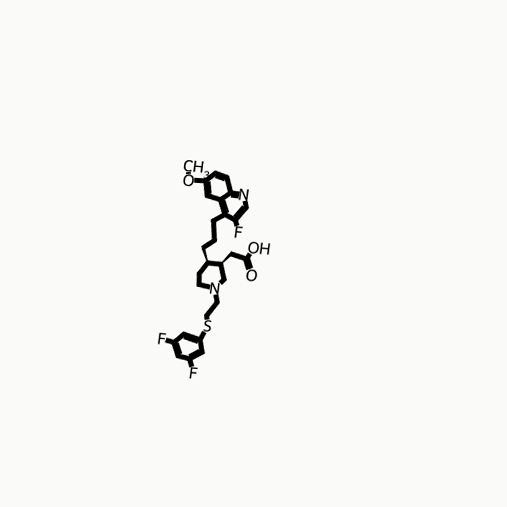 COc1ccc2ncc(F)c(CCC[C@@H]3CCN(CCSc4cc(F)cc(F)c4)C[C@@H]3CC(=O)O)c2c1